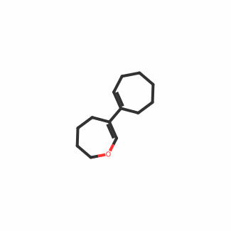 C1=C(C2=COCCCC2)CCCCC1